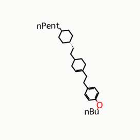 CCCCC[C@H]1CC[C@H](CCC2CC=C(CCc3ccc(OCCCC)cc3)CC2)CC1